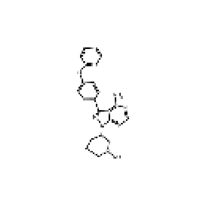 Nc1ncnc2c1c(-c1ccc(Oc3ccccc3)cc1)nn2C1CCCN(N=O)C1